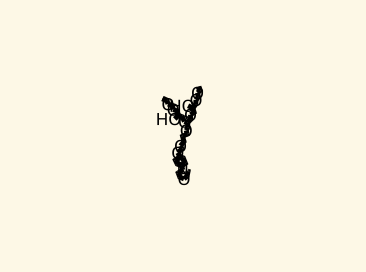 C=COCOCC(O)COCC(COCCCOCOc1ccc(N2CCOCC2)cc1)OCC(O)COCOC=C